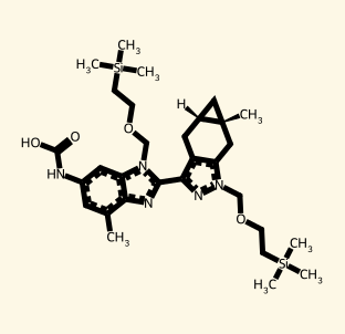 Cc1cc(NC(=O)O)cc2c1nc(-c1nn(COCC[Si](C)(C)C)c3c1C[C@@H]1C[C@]1(C)C3)n2COCC[Si](C)(C)C